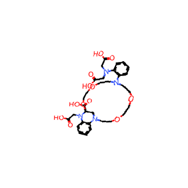 O=C(O)CN(CC(=O)O)c1ccccc1N1CCOCCOCCN2CC(C(=O)O)(OCCOCC1)N(CC(=O)O)c1ccccc12